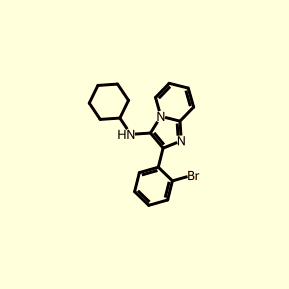 Brc1ccccc1-c1nc2ccccn2c1NC1CCCCC1